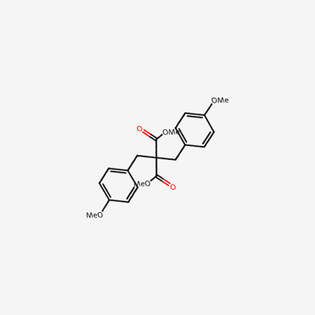 COC(=O)C(Cc1ccc(OC)cc1)(Cc1ccc(OC)cc1)C(=O)OC